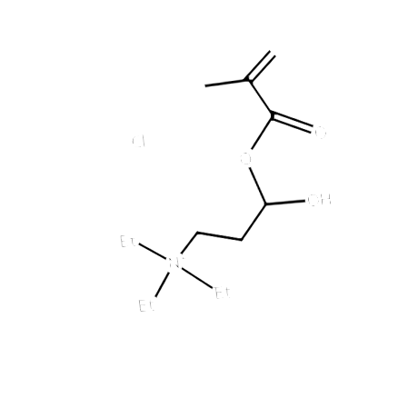 C=C(C)C(=O)OC(O)CC[N+](CC)(CC)CC.[Cl-]